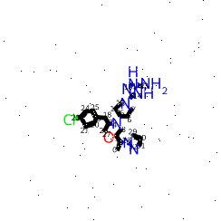 CC(C1CN(C2CCN(C3=NNC(N)N3)CC2)C(Cc2ccc(Cl)cc2)CO1)n1cccn1